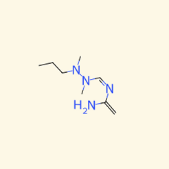 C=C(N)/N=C\N(C)N(C)CCC